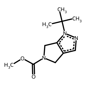 COC(=O)N1Cc2cnn(C(C)(C)C)c2C1